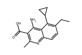 CCc1ccc2nc(C)c(C(=O)O)c(N)c2c1C1CC1